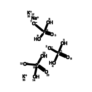 O=P([O-])(O)O.O=P([O-])(O)O.O=P([O-])(O)O.[K+].[K+].[Na+]